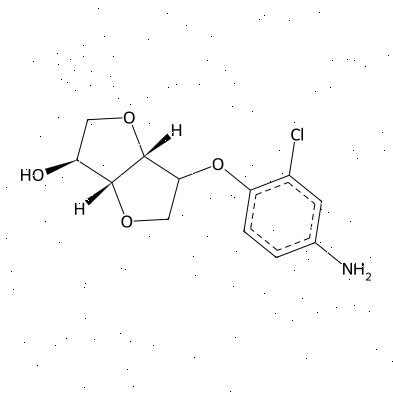 Nc1ccc(OC2CO[C@H]3[C@@H]2OC[C@@H]3O)c(Cl)c1